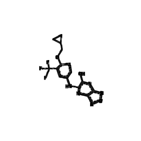 Oc1nc2nonc2nc1Nc1ccc(OCC2CC2)c(C(F)(F)F)c1